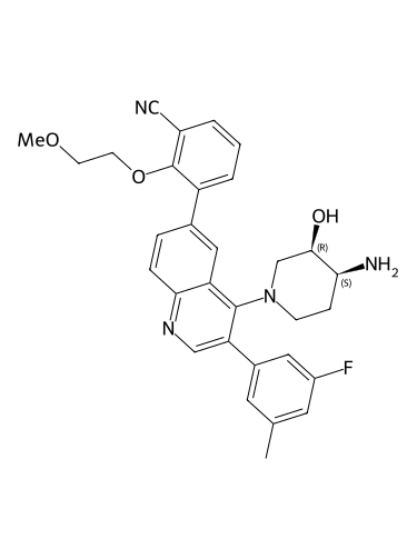 COCCOc1c(C#N)cccc1-c1ccc2ncc(-c3cc(C)cc(F)c3)c(N3CC[C@H](N)[C@H](O)C3)c2c1